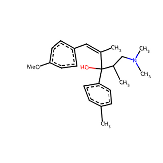 COc1ccc(C=C(C)C(O)(c2ccc(C)cc2)C(C)CN(C)C)cc1